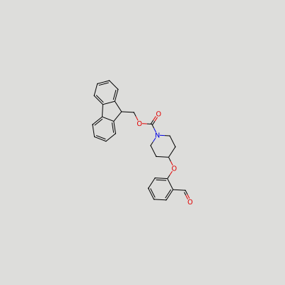 O=Cc1ccccc1OC1CCN(C(=O)OCC2c3ccccc3-c3ccccc32)CC1